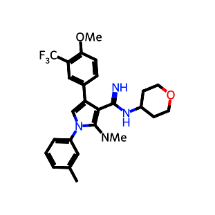 CNc1c(C(=N)NC2CCOCC2)c(-c2ccc(OC)c(C(F)(F)F)c2)cn1-c1cccc(C)c1